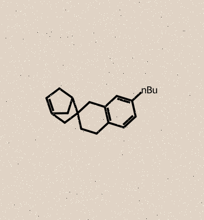 CCCCc1ccc2c(c1)CC1(CC2)CC2=CCC1C2